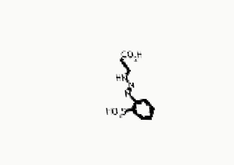 O=C(O)CCNN=Nc1ccccc1S(=O)(=O)O